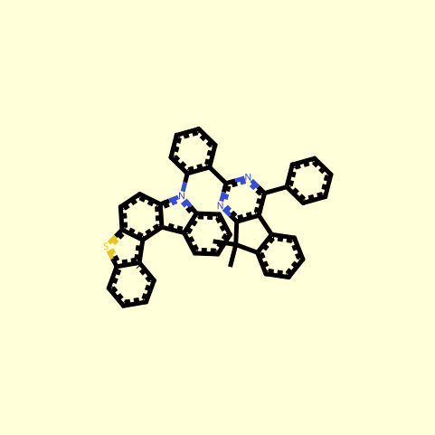 CC1(C)c2ccccc2-c2c(-c3ccccc3)nc(-c3ccccc3-n3c4ccccc4c4c5c(ccc43)sc3ccccc35)nc21